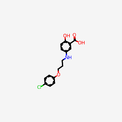 O=C(O)c1cc(NCCCOc2ccc(Cl)cc2)ccc1O